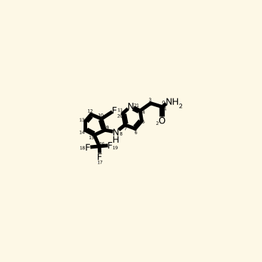 NC(=O)[CH]c1ccc(Nc2c(F)cccc2C(F)(F)F)cn1